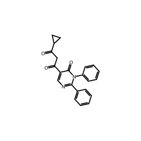 O=C(CC(=O)C1CC1)c1cnc(-c2ccccc2)n(-c2ccccc2)c1=O